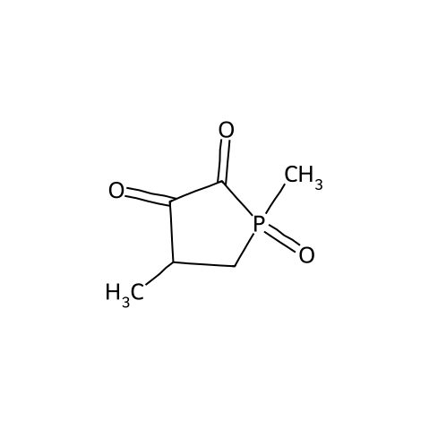 CC1CP(C)(=O)C(=O)C1=O